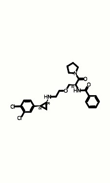 O=C(N[C@@H](COCCN[C@@H]1C[C@H]1c1ccc(Cl)c(Cl)c1)C(=O)N1CCCC1)c1ccccc1